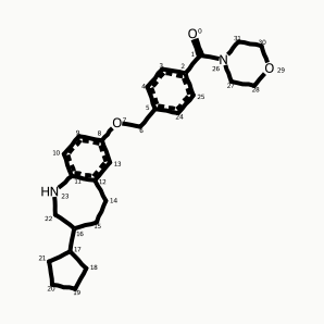 O=C(c1ccc(COc2ccc3c(c2)CCC(C2CCCC2)CN3)cc1)N1CCOCC1